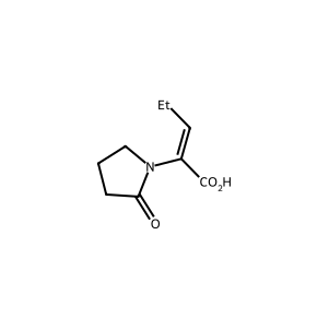 CC/C=C(/C(=O)O)N1CCCC1=O